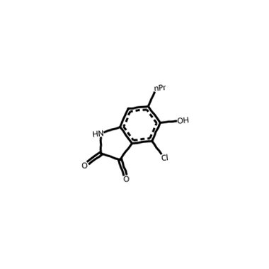 CCCc1cc2c(c(Cl)c1O)C(=O)C(=O)N2